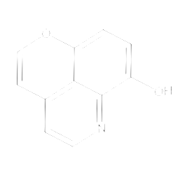 Oc1ccc2c3c(ccnc13)C=CO2